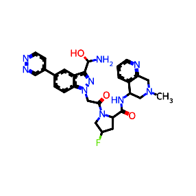 CN1Cc2ncccc2C(NC(=O)C2CC(F)CN2C(=O)Cn2nc(C(N)O)c3cc(-c4ccnnc4)ccc32)C1